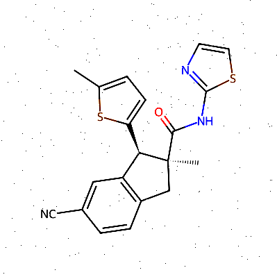 Cc1ccc([C@@H]2c3cc(C#N)ccc3C[C@]2(C)C(=O)Nc2nccs2)s1